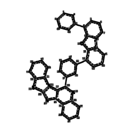 c1ccc(-c2cccc3c2oc2c(-c4cccc(-c5nc6ccccc6c6nc7sc8ccccc8n7c56)c4)cccc23)cc1